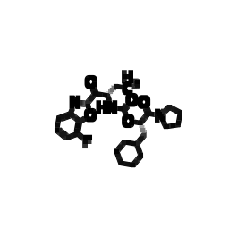 CC[C@H](NC(=O)O[C@@H](CC1CCCCC1)C(=O)N1CCCC1)C(=O)c1nc2cccc(F)c2o1